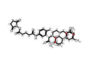 CC(=O)CN(CC(C)=O)[C@H](Cc1ccc(NC(=O)CCCC(=O)ON2C(=O)CCC2=O)cc1)CN(CC(C)=O)[C@H]1CCCC[C@@H]1N(CC(C)=O)CC(C)=O